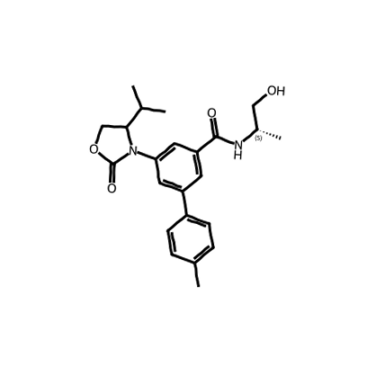 Cc1ccc(-c2cc(C(=O)N[C@@H](C)CO)cc(N3C(=O)OCC3C(C)C)c2)cc1